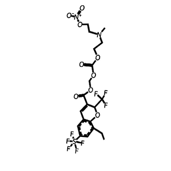 CCc1cc(S(F)(F)(F)(F)F)cc2c1OC(C(F)(F)F)C(C(=O)OCOC(=O)OCCN(C)CCO[N+](=O)[O-])=C2